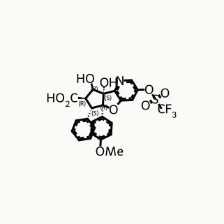 COc1ccc([C@@]23Oc4cc(OS(=O)(=O)C(F)(F)F)cnc4[C@]2(O)[C@H](O)[C@H](C(=O)O)[C@H]3c2ccccc2)cc1